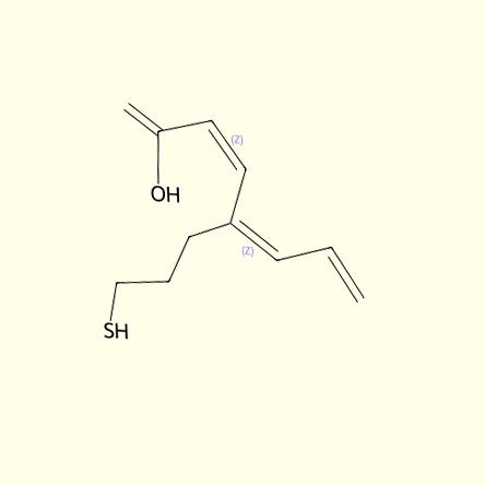 C=C/C=C(\C=C/C(=C)O)CCCS